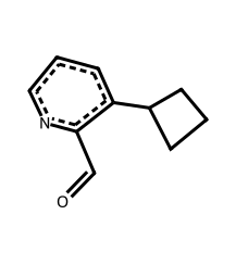 O=Cc1ncccc1C1CCC1